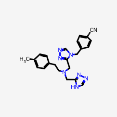 Cc1ccc(CCN(Cc2nnc[nH]2)Cc2nncn2Cc2ccc(C#N)cc2)cc1